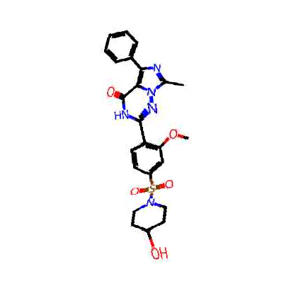 COc1cc(S(=O)(=O)N2CCC(O)CC2)ccc1-c1nn2c(C)nc(-c3ccccc3)c2c(=O)[nH]1